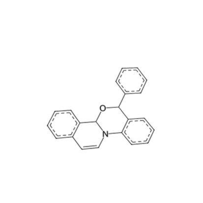 C1=CN2c3ccccc3C(c3ccccc3)OC2c2ccccc21